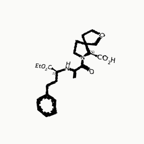 CCOC(=O)[C@H](CCc1ccccc1)NC(C)C(=O)N1CCC2(CCOC2)[C@H]1C(=O)O